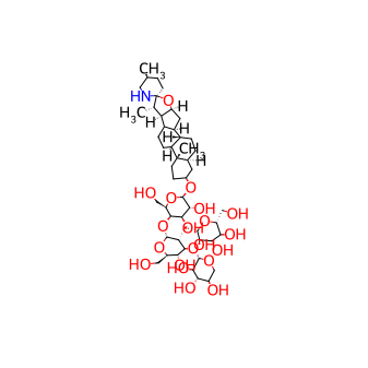 C[C@H]1CC[C@]2(NC1)O[C@H]1C[C@@H]3C(CC[C@H]4[C@H]3CC[C@H]3C[C@@H](O[C@@H]5O[C@H](CO)[C@H](O[C@H]6O[C@H](CO)[C@@H](O)[C@H](O[C@@H]7OC[C@@H](O)[C@H](O)[C@H]7O)[C@H]6C[C@@H]6O[C@H](CO)[C@@H](O)[C@H](O)[C@H]6O)[C@H](O)[C@H]5O)CC[C@@]34C)[C@H]1[C@@H]2C